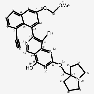 C#Cc1cccc2cc(OCOC)cc(-c3ncc4c(O)nc(OCC56CCCN5CCC6)nc4c3F)c12